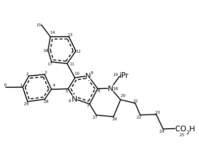 Cc1ccc(-c2nc3c(nc2-c2ccc(C)cc2)N(C(C)C)C(CCCCC(=O)O)CC3)cc1